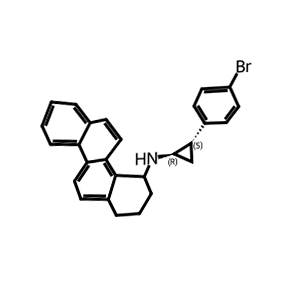 Brc1ccc([C@@H]2C[C@H]2NC2CCCc3ccc4c(ccc5ccccc54)c32)cc1